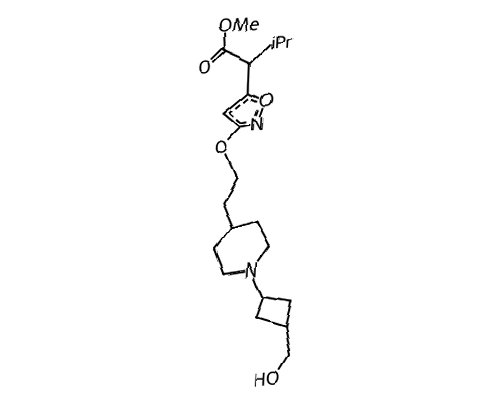 COC(=O)C(c1cc(OCCC2CCN(C3CC(CO)C3)CC2)no1)C(C)C